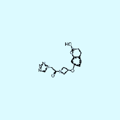 O=C(Cn1cnnn1)N1CC(Oc2ccc3c(c2)OB(O)CC3)C1